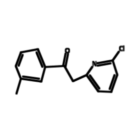 Cc1cccc(C(=O)Cc2cccc(Cl)n2)c1